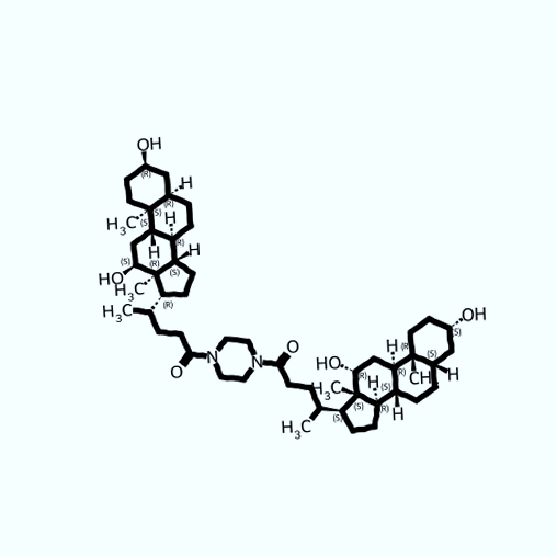 CC(CCC(=O)N1CCN(C(=O)CCC(C)[C@@H]2CC[C@@H]3[C@H]4CC[C@H]5C[C@@H](O)CC[C@@]5(C)[C@@H]4C[C@@H](O)[C@]32C)CC1)[C@H]1CC[C@H]2[C@@H]3CC[C@@H]4C[C@H](O)CC[C@]4(C)[C@H]3C[C@H](O)[C@]12C